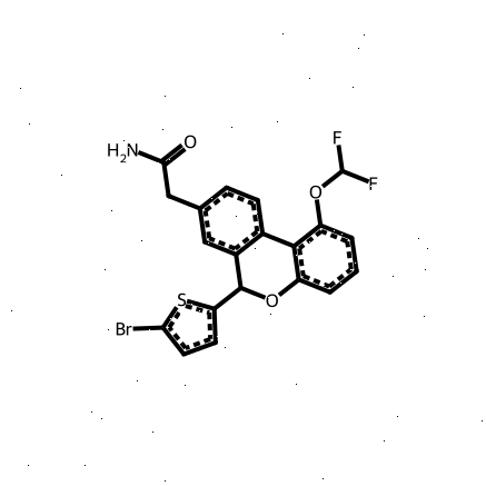 NC(=O)Cc1ccc2c(c1)C(c1ccc(Br)s1)Oc1cccc(OC(F)F)c1-2